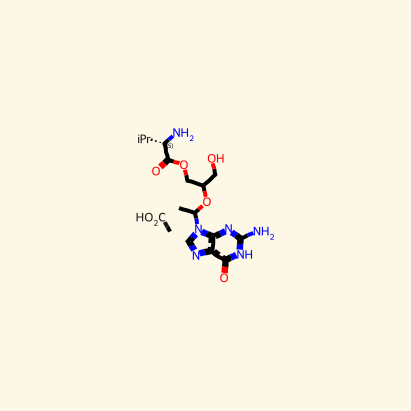 CC(=O)O.CC(C)[C@H](N)C(=O)OCC(CO)OC(C)n1cnc2c(=O)[nH]c(N)nc21